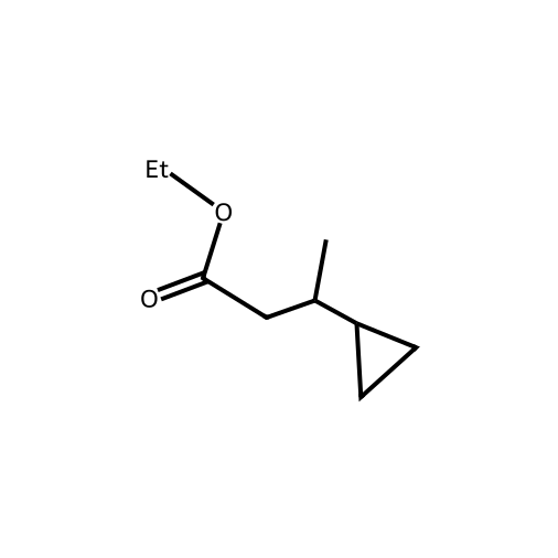 CCOC(=O)CC(C)C1CC1